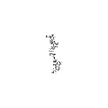 O=C1CCC(N2C(=O)c3cccc(NCCCCNC(=O)c4ccc(Oc5ccc(Cl)cc5NS(=O)(=O)c5ccc(Cl)c(C(F)(F)F)c5)cc4)c3C2=O)C(=O)N1